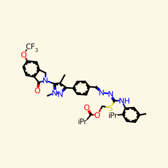 Cc1ccc(C(C)C)c(N/C(=N/N=C/c2ccc(-c3nn(C)c(N4Cc5cc(OC(F)(F)F)ccc5C4=O)c3C)cc2)SCOC(=O)C(C)C)c1